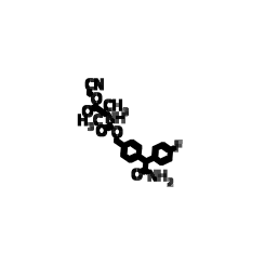 CC(C)(NC(=O)OCc1ccc(C(C(N)=O)c2ccc(F)cc2)cc1)C(=O)OCC#N